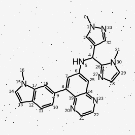 Cn1cc(C(Nc2cc(-c3ccc4ccn(C)c4c3)c3nccnc3c2)c2nccn2C)cn1